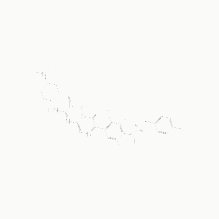 C=N/C(=N\c1c(C)nc(-c2cc(F)c(NS(=O)(=O)Cc3ccc(F)cc3)c(F)c2F)c(=O)n1C(C)C)N[C@H]1CC[C@H](N(C)C)CC1